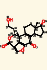 C[C@]12CCC3=C(C(=O)c4occ5c4[C@]3(C)[C@@H](CCO)OC5=O)C1CCC2=O